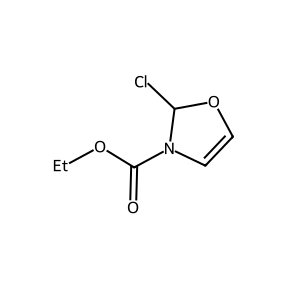 CCOC(=O)N1C=COC1Cl